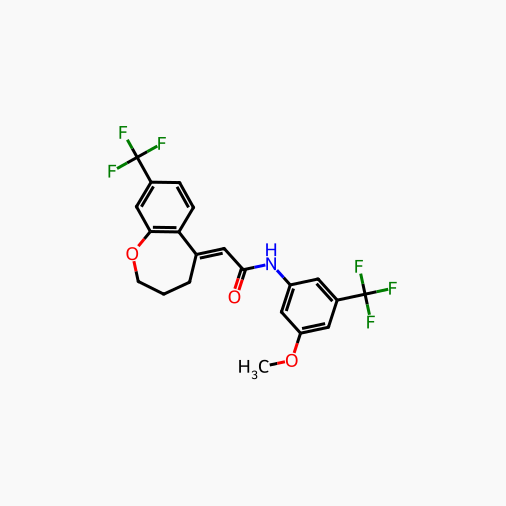 COc1cc(NC(=O)/C=C2\CCCOc3cc(C(F)(F)F)ccc32)cc(C(F)(F)F)c1